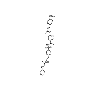 COc1ccc(COC(=O)Oc2ccc(C(=O)NS(=O)(=O)c3ccc(CCNC(=O)COc4ccccc4)cc3)cn2)cc1